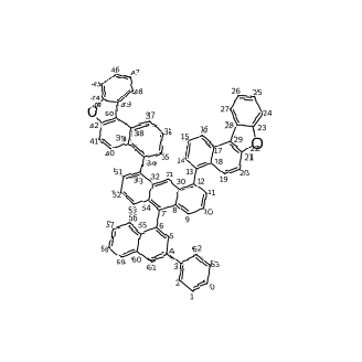 c1ccc(-c2cc(-c3c4cccc(-c5cccc6c5ccc5oc7ccccc7c56)c4cc4c(-c5cccc6c5ccc5oc7ccccc7c56)cccc34)c3ccccc3c2)cc1